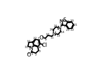 O=C1CCc2c(Cl)c(OCCCN3CCN(c4nsc5ccccc45)CC3)cc3c2N1CC3